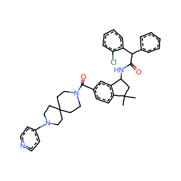 CC1(C)CC(NC(=O)C(c2ccccc2)c2ccccc2Cl)c2cc(C(=O)N3CCC4(CC3)CCN(c3ccncc3)CC4)ccc21